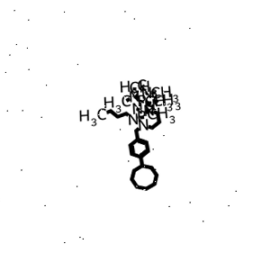 CCCCN=P1(N=P(N(C)C)(N(C)C)N(C)C)N(C)CCCN1Cc1ccc(C2CCCCCCC2)cc1